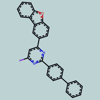 Ic1cc(-c2ccc3oc4ccccc4c3c2)nc(-c2ccc(-c3ccccc3)cc2)n1